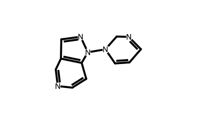 C1=CN(n2ncc3cnccc32)CN=C1